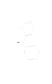 CC[C@@H](c1ccccn1)N1CCNCC1